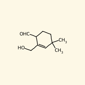 CC1(C)C=C(CO)C(C=O)CC1